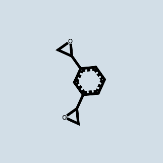 c1cc(C2CO2)cc(C2CO2)c1